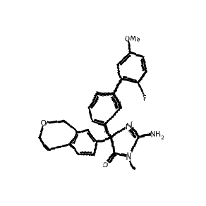 COc1ccc(F)c(-c2cccc(C3(c4ccc5c(c4)COCC5)N=C(N)N(C)C3=O)c2)c1